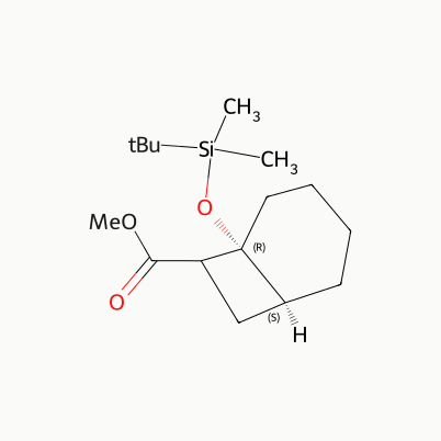 COC(=O)C1C[C@@H]2CCCC[C@]12O[Si](C)(C)C(C)(C)C